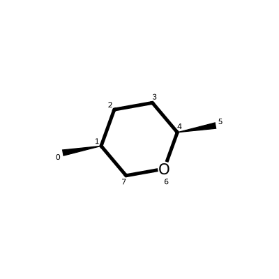 C[C@H]1CC[C@@H](C)OC1